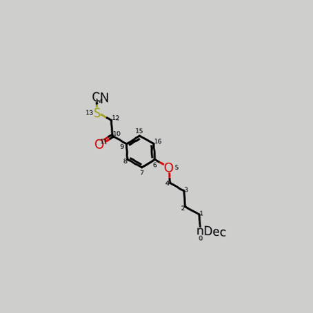 CCCCCCCCCCCCCCOc1ccc(C(=O)CSC#N)cc1